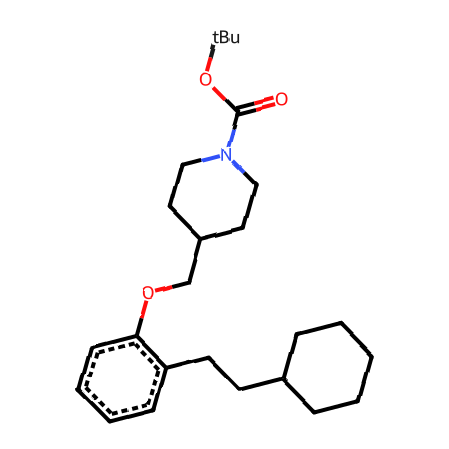 CC(C)(C)OC(=O)N1CCC(COc2ccccc2CCC2CCCCC2)CC1